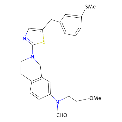 COCCN(C=O)c1ccc2c(c1)CN(c1ncc(Cc3cccc(SC)c3)s1)CC2